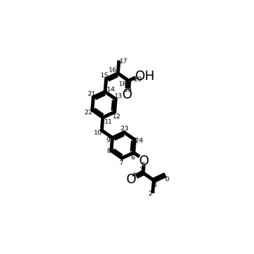 C=C(C)C(=O)Oc1ccc(Cc2ccc(C=C(C)C(=O)O)cc2)cc1